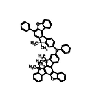 CC1(C)c2cc(N(c3ccccc3)c3ccc4c(c3)[Si](C)(C)c3c5c(c6oc7ccccc7c6c3-4)-c3ccccc3[Si]5(C)C)ccc2-c2c1cc(-c1ccccc1)c1oc3ccccc3c21